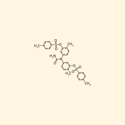 Cc1ccc(S(=O)(=O)Oc2cc(N(C(N)=O)c3ccc(C)c(OS(=O)(=O)c4ccc(C)cc4)c3)ccc2C)cc1